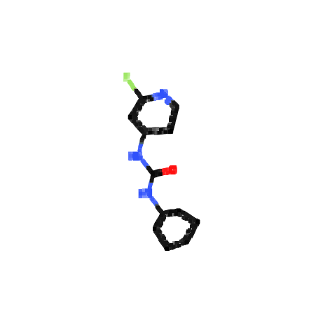 O=C(Nc1ccccc1)Nc1ccnc(F)c1